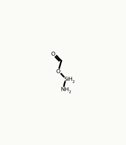 N[SiH2]OC=O